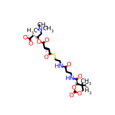 CC1(C)COC(=O)O[C@H]1C(=O)NCCC(=O)NCCSC(=O)/C=C/C(=O)O[C@H](CC(=O)[O-])C[N+](C)(C)C